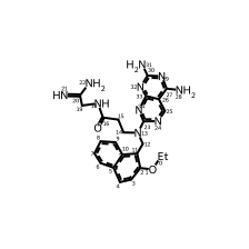 CCOc1ccc2ccccc2c1CN(CCC(=O)NCC(=N)N)c1ncc2c(N)nc(N)nc2n1